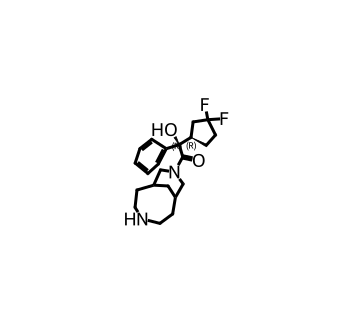 O=C(N1CC2CCNCCC(C2)C1)[C@](O)(c1ccccc1)[C@@H]1CCC(F)(F)C1